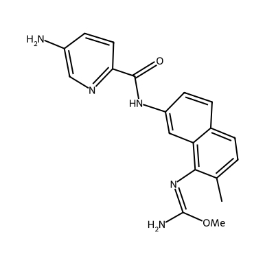 CO/C(N)=N\c1c(C)ccc2ccc(NC(=O)c3ccc(N)cn3)cc12